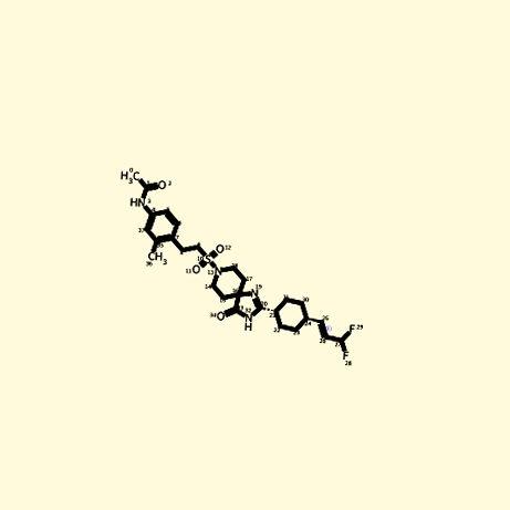 CC(=O)Nc1ccc(CCS(=O)(=O)N2CCC3(CC2)N=C([C@H]2CC[C@H](/C=C/C(F)F)CC2)NC3=O)c(C)c1